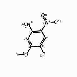 COc1nc(N)c([N+](=O)[O-])cc1I